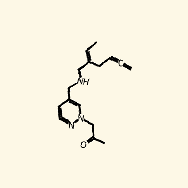 C=C=CC/C(=C\C)CNCC1=CN(CC(C)=O)N=C=C1